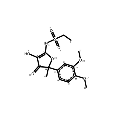 CCS(=O)(=O)NC1=C(O)C(=O)C(C)(c2ccc(OC)c(OC)c2)O1